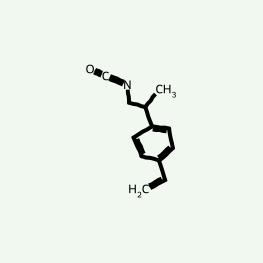 C=Cc1ccc(C(C)CN=C=O)cc1